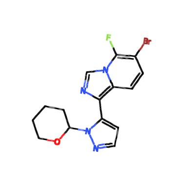 Fc1c(Br)ccc2c(-c3ccnn3C3CCCCO3)ncn12